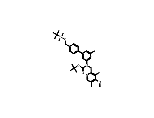 COc1c(C)cnc(CN(C(=O)OC(C)(C)C)c2cc(C)cc(-c3ccc(CO[Si](C)(C)C(C)(C)C)cc3)c2)c1C